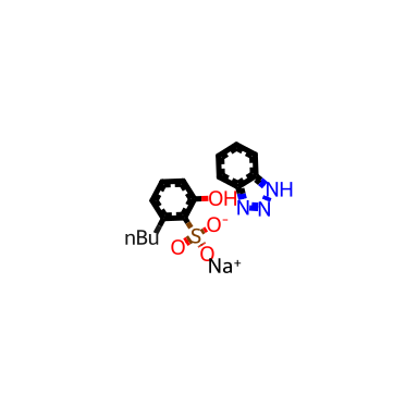 CCCCc1cccc(O)c1S(=O)(=O)[O-].[Na+].c1ccc2[nH]nnc2c1